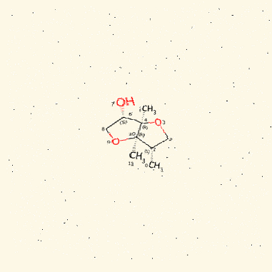 C[C@H]1CO[C@]2(C)[C@@H](O)CO[C@]12C